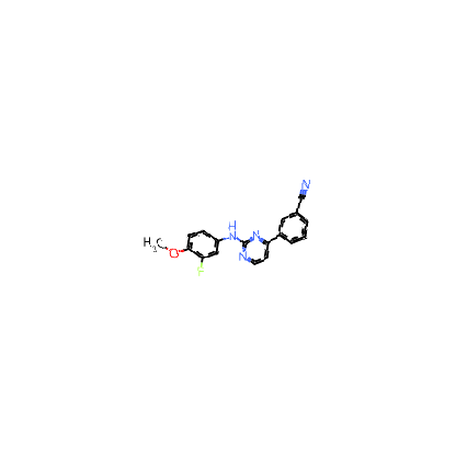 COc1ccc(Nc2nccc(-c3cccc(C#N)c3)n2)cc1F